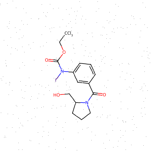 O=C(OCC(Cl)(Cl)Cl)N(I)c1cccc(C(=O)N2CCCC2CO)c1